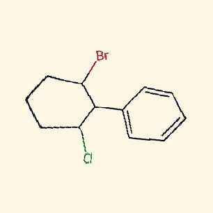 ClC1CCCC(Br)C1c1ccccc1